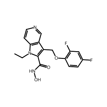 CCn1c(C(=O)NO)c(COc2ccc(F)cc2F)c2cnccc21